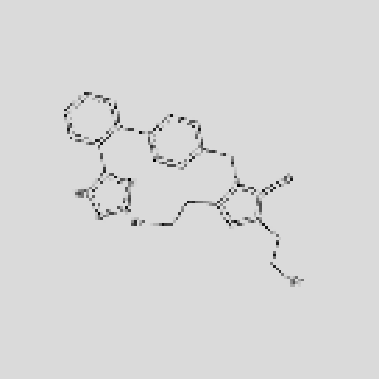 CC(C)CCc1cn(CCC(C)C)c(=O)n1Cc1ccc(-c2ccccc2-c2nnn[nH]2)cc1